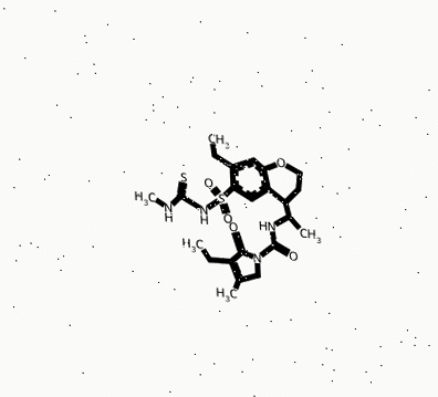 CCC1=C(C)CN(C(=O)NC(C)C2CCOc3cc(CC)c(S(=O)(=O)NC(=S)NC)cc32)C1=O